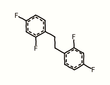 Fc1ccc(CCc2ccc(F)cc2F)c(F)c1